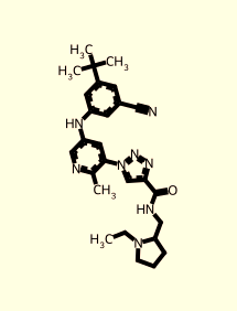 CCN1CCCC1CNC(=O)c1cn(-c2cc(Nc3cc(C#N)cc(C(C)(C)C)c3)cnc2C)nn1